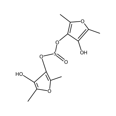 Cc1oc(C)c(OS(=O)Oc2c(C)oc(C)c2O)c1O